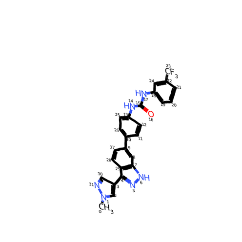 Cn1cc(-c2n[nH]c3cc(-c4ccc(NC(=O)Nc5cccc(C(F)(F)F)c5)cc4)ccc23)cn1